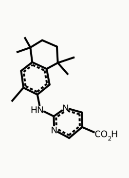 Cc1cc2c(cc1Nc1ncc(C(=O)O)cn1)C(C)(C)CCC2(C)C